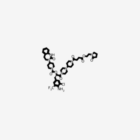 Nc1c(Cl)cc(C[C@@H](OC(=O)N2CCC(N3CCc4ccccc4NC3=O)CC2)C(=O)N2CCN(C3CCN(C(=O)CCC(=O)OCCN4CCCC4=O)CC3)CC2)cc1C(F)(F)F